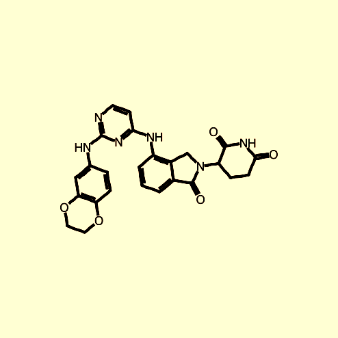 O=C1CCC(N2Cc3c(Nc4ccnc(Nc5ccc6c(c5)OCCO6)n4)cccc3C2=O)C(=O)N1